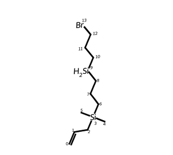 C=CC[Si](C)(C)CCC[SiH2]CCCBr